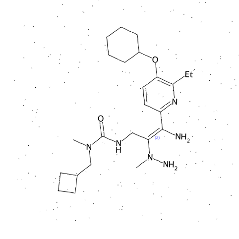 CCc1nc(/C(N)=C(\CNC(=O)N(C)CC2CCC2)N(C)N)ccc1OC1CCCCC1